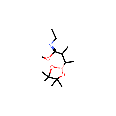 CC/N=C(/OC)C(C)C(C)B1OC(C)(C)C(C)(C)O1